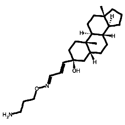 C[C@@]12CCC[C@H]1[C@@H]1CC[C@@H]3C[C@](O)(C=CC=NOCCCN)CC[C@]3(C)[C@H]1CC2